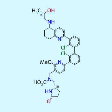 COc1nc(-c2cccc(-c3cccc(-c4ccc5c(n4)CCCC5NC[C@H](C)O)c3Cl)c2Cl)ccc1CN(C[C@@H]1CCC(=O)N1)C(=O)O